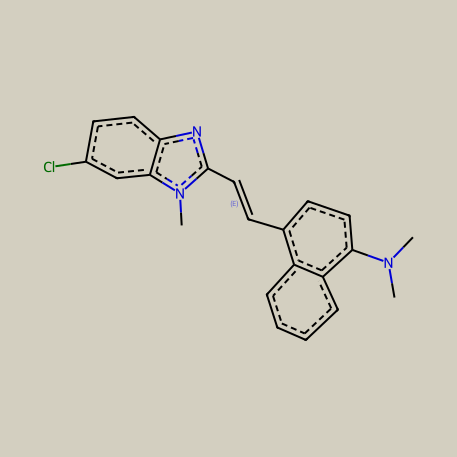 CN(C)c1ccc(/C=C/c2nc3ccc(Cl)cc3n2C)c2ccccc12